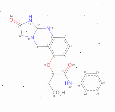 O=C(O)CC(Oc1cccc2c1CN1CC(=O)NC1=N2)C(=O)Nc1ccccc1